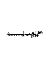 CC(=O)CC[C@H](NC(=O)CCC(=O)NCCOCCOCCNC(=O)CCCCCCCCCCCCCCCCC(=O)O)C(=O)O